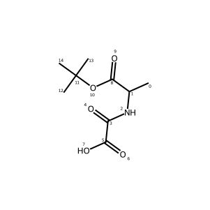 CC(NC(=O)C(=O)O)C(=O)OC(C)(C)C